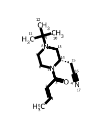 C/C=C/C(=O)N1CCN(C(C)(C)C)C[C@@H]1CC#N